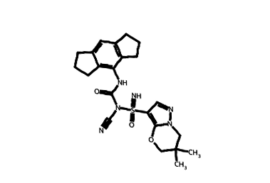 CC1(C)COc2c(S(=N)(=O)N(C#N)C(=O)Nc3c4c(cc5c3CCC5)CCC4)cnn2C1